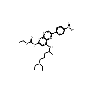 CCOC(=O)Nc1cc(NC(C)CCCN(CC)CC)c2nc(-c3ccc([N+](=O)[O-])cc3)cnc2n1